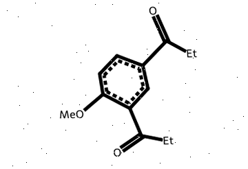 [CH2]Oc1ccc(C(=O)CC)cc1C(=O)CC